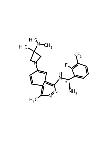 Cc1nnc(N[C@H](N)c2cccc(C(F)(F)F)c2F)c2cc(N3CC(C)(N(C)C)C3)ccc12